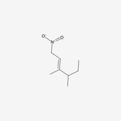 CCC(C)C(C)=CC[N+](=O)[O-]